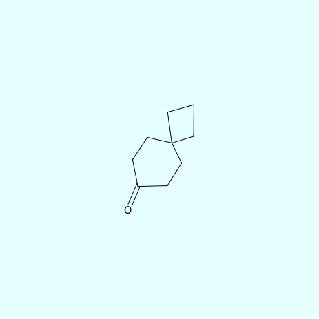 O=C1CCC2(CCC2)CC1